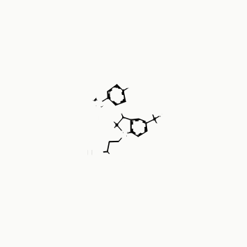 CC(C)CCN1c2ccc(C(F)(F)F)cc2C(C)C1(C)C.Cc1ccc(S(=O)(=O)O)cc1